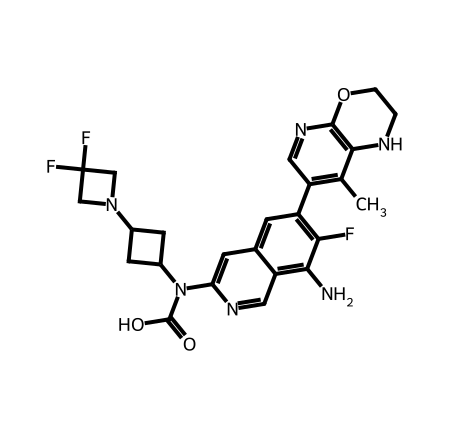 Cc1c(-c2cc3cc(N(C(=O)O)C4CC(N5CC(F)(F)C5)C4)ncc3c(N)c2F)cnc2c1NCCO2